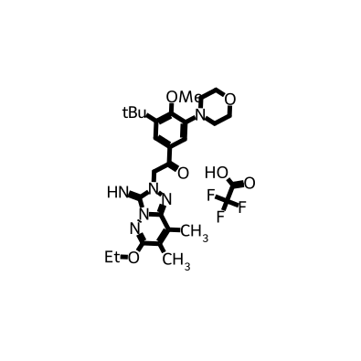 CCOc1nn2c(=N)n(CC(=O)c3cc(N4CCOCC4)c(OC)c(C(C)(C)C)c3)nc2c(C)c1C.O=C(O)C(F)(F)F